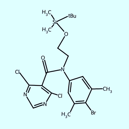 Cc1cc(N(CCO[Si](C)(C)C(C)(C)C)C(=O)c2c(Cl)ncnc2Cl)cc(C)c1Br